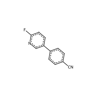 N#Cc1ccc(-c2c[c]c(F)nc2)cc1